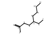 C=C(C)[CH]CC(CC)CCCC